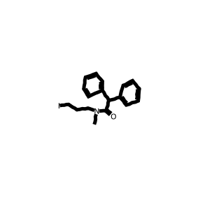 CN(CCCI)C(=O)C(c1ccccc1)c1ccccc1